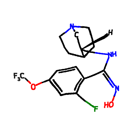 O/N=C(/N[C@H]1CN2CCC1CC2)c1ccc(OC(F)(F)F)cc1F